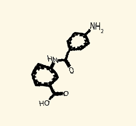 Nc1ccc(C(=O)Nc2cccc(C(=O)O)c2)cc1